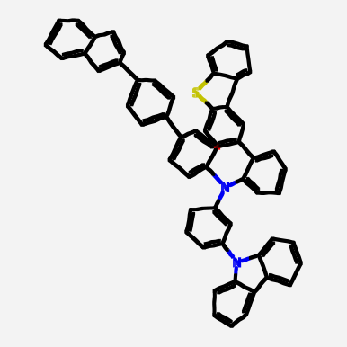 c1cc(N(c2ccc(-c3ccc(-c4ccc5ccccc5c4)cc3)cc2)c2ccccc2-c2ccc3sc4ccccc4c3c2)cc(-n2c3ccccc3c3ccccc32)c1